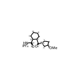 COC1CCN(C(=O)C2CCCCC2C(=O)NC(C)C)C1